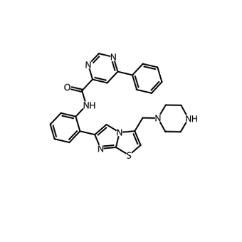 O=C(Nc1ccccc1-c1cn2c(CN3CCNCC3)csc2n1)c1cc(-c2ccccc2)ncn1